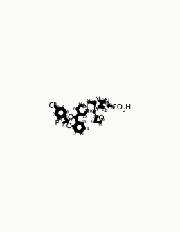 CC1(c2ccc(Cl)cc2F)Oc2ccccc2C(C2CCN(Cc3nc4nc(C(=O)O)sc4n3C[C@@H]3CCO3)CC2)O1